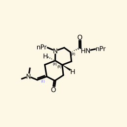 CCCNC(=O)[C@@H]1C[C@@H]2CC(=O)/C(=C/N(C)C)C[C@H]2N(CCC)C1